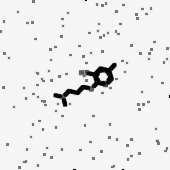 Cc1cnc(OCCCN(C)C)c(N)c1